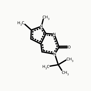 Cc1cc2cn(C(C)(C)C)c(=O)nc2n1C